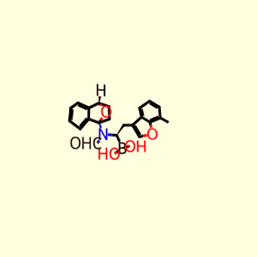 Cc1cccc2c(C[C@@H](B(O)O)N(C=O)[C@]34CC[C@H](O3)c3ccccc34)coc12